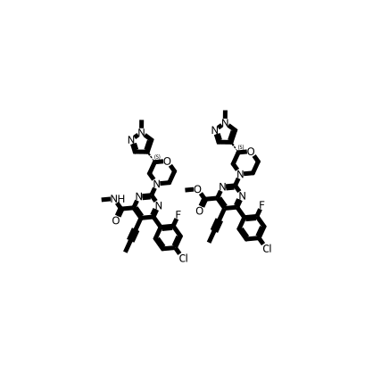 CC#Cc1c(C(=O)NC)nc(N2CCO[C@@H](c3cnn(C)c3)C2)nc1-c1ccc(Cl)cc1F.CC#Cc1c(C(=O)OC)nc(N2CCO[C@@H](c3cnn(C)c3)C2)nc1-c1ccc(Cl)cc1F